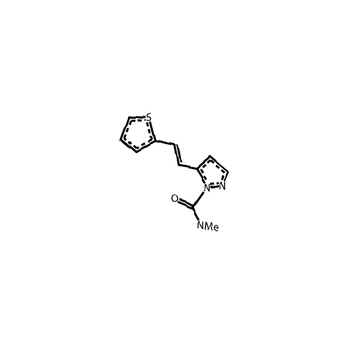 CNC(=O)n1nccc1C=Cc1cccs1